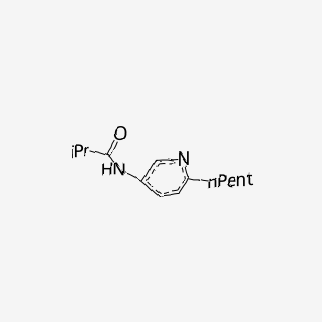 CCCCCc1ccc(NC(=O)C(C)C)cn1